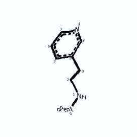 CCCCCNCCc1cccnc1